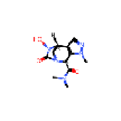 CN(C)C(=O)[C@@H]1c2c(cnn2C)[C@@H]2CN1C(=O)N2O